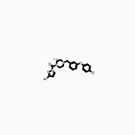 CC(=O)c1ccn(C(=O)N2CCN(Cc3cccc(Oc4ccc(Cl)cc4)c3)C[C@H]2C)n1